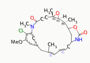 COc1cc2cc(c1Cl)N(C)C(=O)CC[C@]1(C)O[C@H]1[C@H](C)C1CC(C/C=C/C=C(\C)C2)NC(=O)O1